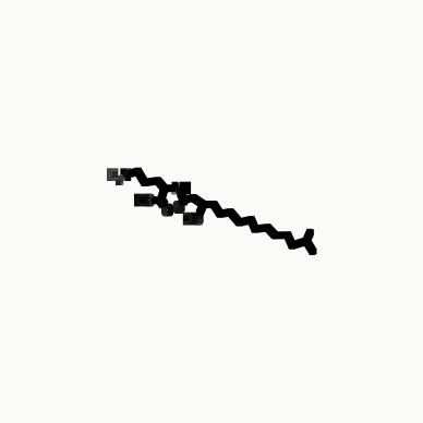 CC(C)CCCCCCCCCCC(O)CC(=O)NC(CCCN)C(=O)O